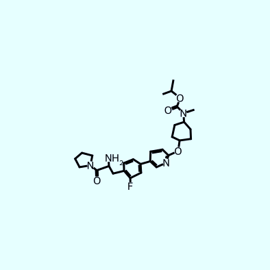 CC(C)OC(=O)N(C)C1CCC(Oc2ccc(-c3ccc(CC(N)C(=O)N4CCCC4)c(F)c3)cn2)CC1